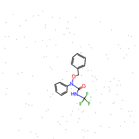 O=C(NC(F)(F)F)N(OCc1ccccc1)c1ccccc1